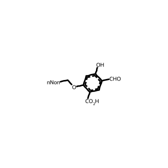 CCCCCCCCCCOc1cc(O)c(C=O)cc1C(=O)O